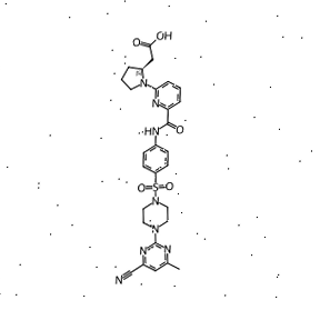 Cc1cc(C#N)nc(N2CCN(S(=O)(=O)c3ccc(NC(=O)c4cccc(N5CCC[C@H]5CC(=O)O)n4)cc3)CC2)n1